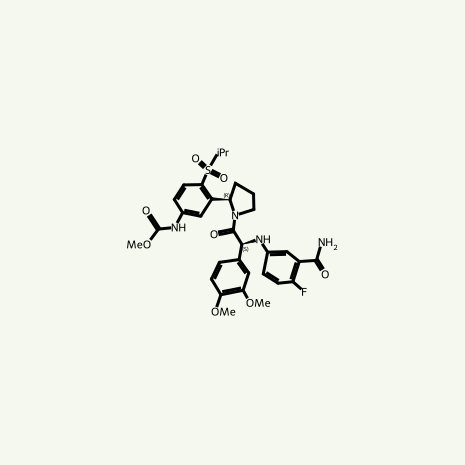 COC(=O)Nc1ccc(S(=O)(=O)C(C)C)c([C@H]2CCCN2C(=O)[C@@H](Nc2ccc(F)c(C(N)=O)c2)c2ccc(OC)c(OC)c2)c1